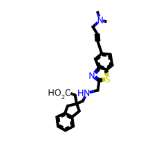 CN(C)CC#Cc1ccc2sc(CNCC3(CC(=O)O)Cc4ccccc4C3)nc2c1